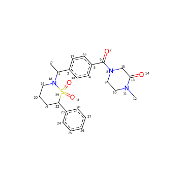 CC(c1ccc(C(=O)N2CCN(C)C(=O)C2)cc1)N1CCCC(c2ccccc2)S1(=O)=O